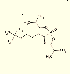 CC(C)COP(=O)(OCC(C)C)C(F)CCCOC(C)(C)N